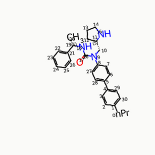 CCCc1ccc(-c2ccc(N(C[C@@H]3CCCN3)C(=O)N[C@@H](C)c3ccccc3)cc2)cc1